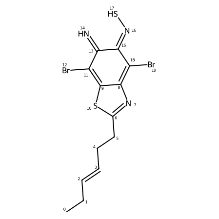 CC/C=C/CCc1nc2c(s1)=C(Br)C(=N)/C(=N\S)C=2Br